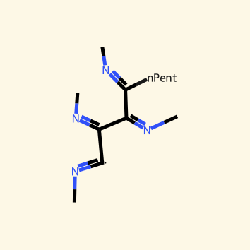 [CH2]CCCCC(=NC)C(=NC)C(/[C]=N/C)=NC